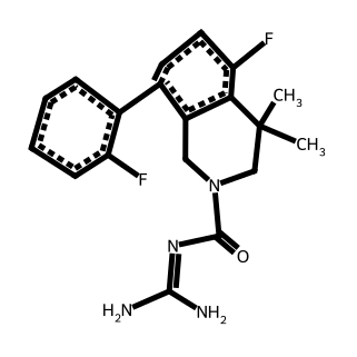 CC1(C)CN(C(=O)N=C(N)N)Cc2c(-c3ccccc3F)ccc(F)c21